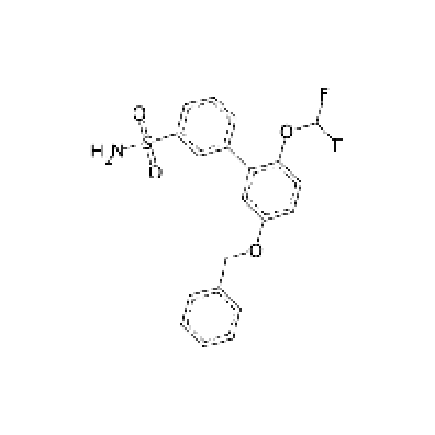 NS(=O)(=O)c1cccc(-c2cc(OCc3ccccc3)ccc2OC(F)F)c1